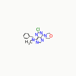 CN(Cc1ccccc1)c1ncnc2c(N3CCOCC3)nc(Cl)nc12